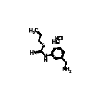 C=CCSC(=N)Nc1cccc(CN)c1.Cl.Cl